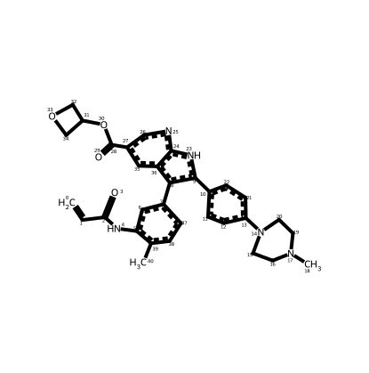 C=CC(=O)Nc1cc(-c2c(-c3ccc(N4CCN(C)CC4)cc3)[nH]c3ncc(C(=O)OC4COC4)cc23)ccc1C